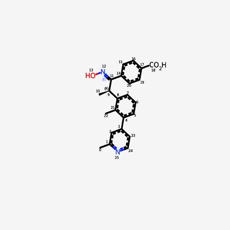 Cc1cc(-c2cccc([C@@H](C)/C(=N\O)c3ccc(C(=O)O)cc3)c2C)ccn1